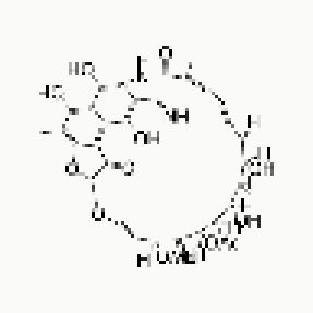 CO[C@H]1/C=C/O[C@@]2(C)Oc3c(C)c(O)c4c(O)c(c(C=N)c(O)c4c3C2=O)NC(=O)/C(C)=C\C=C\[C@H](C)[C@H](O)[C@@H](C)[C@@H](O)[C@@H](C)[C@H](OC(C)=O)[C@@H]1C